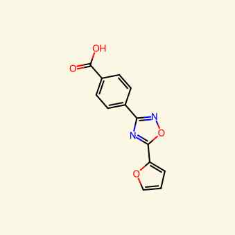 O=C(O)c1ccc(-c2noc(-c3ccco3)n2)cc1